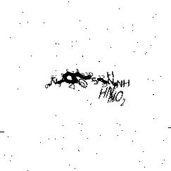 CN(C)Cc1ccc2cc(CSCCNC(=N)N[N+](=O)[O-])oc2c1